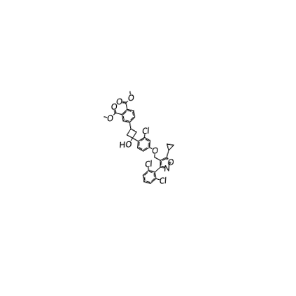 COC(=O)c1ccc(C2CC(O)(c3ccc(OCc4c(-c5c(Cl)cccc5Cl)noc4C4CC4)cc3Cl)C2)cc1C(=O)OC